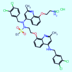 CCS(=O)(=O)N(CCOc1cccc2c(NCc3ccc(Cl)c(Cl)c3)cc(C)nc12)N(Cc1ccc(Cl)c(Cl)c1)c1cc(C)nc2c(OCCN)cccc12.Cl.Cl